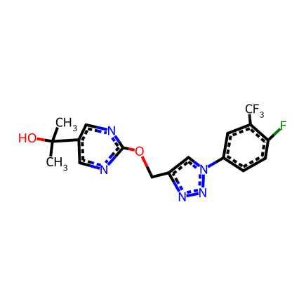 CC(C)(O)c1cnc(OCc2cn(-c3ccc(F)c(C(F)(F)F)c3)nn2)nc1